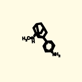 CNC12CC3CC(C1)CC(c1ccc(N)cc1)(C3)C2